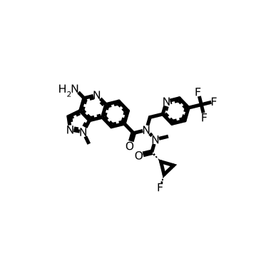 CN(C(=O)[C@@H]1C[C@@H]1F)N(Cc1ccc(C(F)(F)F)cn1)C(=O)c1ccc2nc(N)c3cnn(C)c3c2c1